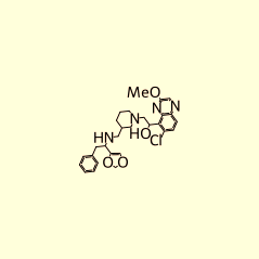 COc1cnc2ccc(Cl)c(C(O)CN3CCCC(CNC(Cc4ccccc4)C4=COCO4)C3)c2n1